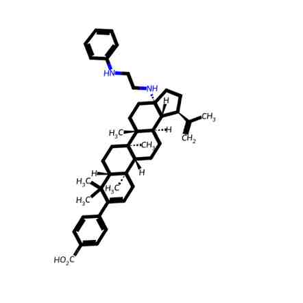 C=C(C)[C@@H]1CC[C@]2(NCCNc3ccccc3)CC[C@]3(C)[C@H](CC[C@@H]4[C@@]5(C)CC=C(c6ccc(C(=O)O)cc6)C(C)(C)[C@@H]5CC[C@]43C)[C@@H]12